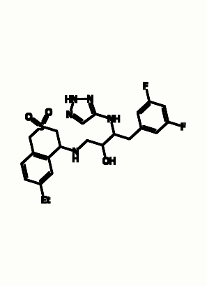 CCc1ccc2c(c1)C(NCC(O)C(Cc1cc(F)cc(F)c1)Nc1cn[nH]n1)CS(=O)(=O)C2